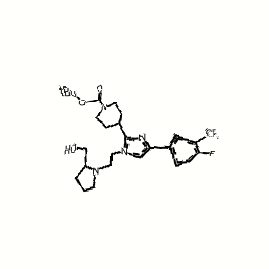 CC(C)(C)OC(=O)N1CCC(c2nc(-c3ccc(F)c(C(F)(F)F)c3)cn2CCN2CCCC2CO)CC1